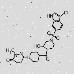 Cn1nc(N2CCC(C(=O)N3CCN(S(=O)(=O)c4ccc5c(Cl)c[nH]c5c4)CC3O)CC2)ccc1=O